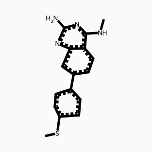 CNc1nc(N)nc2cc(-c3ccc(SC)cc3)ccc12